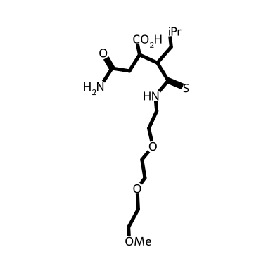 COCCOCCOCCNC(=S)C(CC(C)C)C(CC(N)=O)C(=O)O